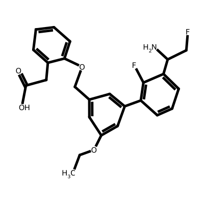 CCOc1cc(COc2ccccc2CC(=O)O)cc(-c2cccc(C(N)CF)c2F)c1